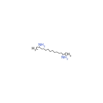 CC(N)CCCCCCCCCCC(C)N